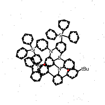 CC(C)(C)c1ccc(-c2cccc(-c3ccccc3)c2N2c3ccccc3B3c4ccc([Si](c5ccccc5)(c5ccccc5)c5ccccc5)cc4N(c4cccc([Si](c5ccccc5)(c5ccccc5)c5ccccc5)c4)c4cc(-n5c6ccccc6c6ccccc65)cc2c43)cc1